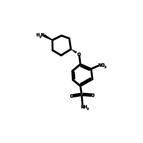 NS(=O)(=O)c1ccc(O[C@H]2CC[C@H](N)CC2)c([N+](=O)[O-])c1